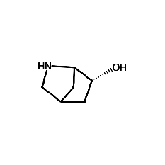 O[C@@H]1CC2CNC1C2